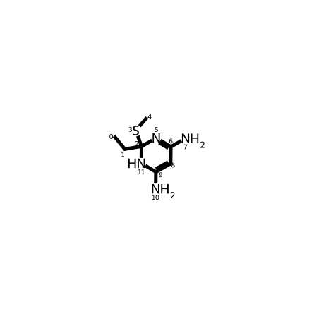 CCC1(SC)N=C(N)C=C(N)N1